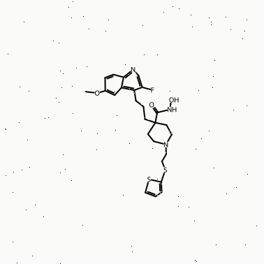 COc1ccc2ncc(F)c(CCCC3(C(=O)NO)CCN(CCSc4cccs4)CC3)c2c1